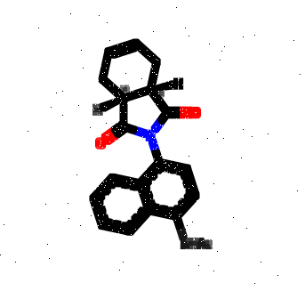 CC(=O)Nc1ccc(N2C(=O)[C@H]3CC=CC[C@H]3C2=O)c2ccccc12